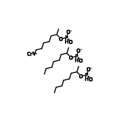 CCCCCCC(C)O[PH](=O)[O-].CCCCCCC(C)O[PH](=O)[O-].CCCCCCC(C)O[PH](=O)[O-].[Cr+3]